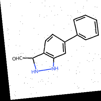 O=CC1NNc2cc(-c3ccccc3)ccc21